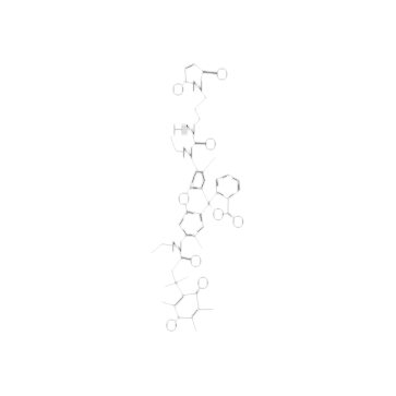 CCN(C(=O)CC(C)(C)C1=C(C)C(=O)C(C)=C(C)C1=O)c1cc2c(cc1C)C1(OC(=O)c3ccccc31)c1cc(C)c(N(CC)C(=O)NCCCN3C(=O)C=CC3=O)cc1O2